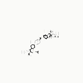 O=C(O)c1cn(C2CC2)c2cc(N3CCN(C(=O)Oc4ccc(CC(O)(P(=O)(O)O)P(=O)(O)O)cc4)CC3)c(F)cc2c1=O